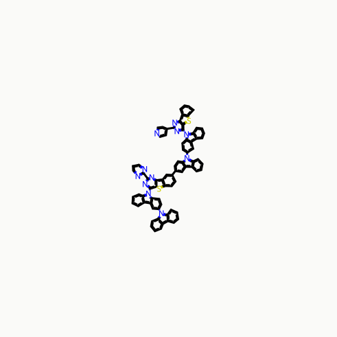 c1cnc(-c2nc(-n3c4ccccc4c4cc(-n5c6ccccc6c6ccccc65)ccc43)c3sc4ccc(-c5ccc6c(c5)c5ccccc5n6-c5ccc6c(c5)c5ccccc5n6-c5nc(-c6ccncc6)nc6c5sc5ccccc56)cc4c3n2)nc1